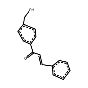 O=C(C=Cc1ccccc1)c1ccc(CO)cc1